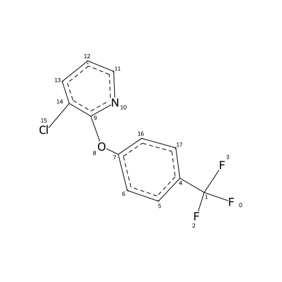 FC(F)(F)c1ccc(Oc2nc[c]cc2Cl)cc1